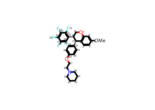 COc1ccc2c(c1)OC[C@H](c1c(F)c(F)c(F)c(F)c1F)[C@@H]2c1ccc(OCCN2CCCCC2)cc1